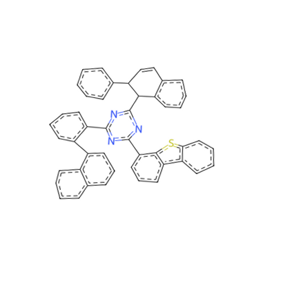 C1=CC(c2ccccc2)C(c2nc(-c3ccccc3-c3cccc4ccccc34)nc(-c3cccc4c3sc3ccccc34)n2)c2ccccc21